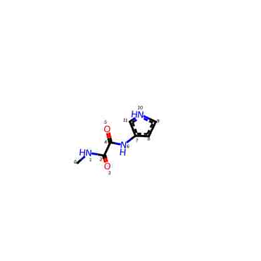 CNC(=O)C(=O)Nc1cc[nH]c1